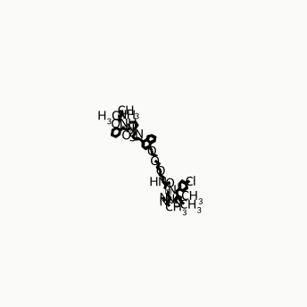 CN[C@@H](C)C(=O)N[C@H](C(=O)N1CCC[C@H]1c1nc(-c2ccc(OCCOCCOCCNC(=O)C[C@@H]3N=C(c4ccc(Cl)cc4)c4c(sc(C)c4C)-n4c(C)nnc43)c3ccccc23)cs1)C1CCCCC1